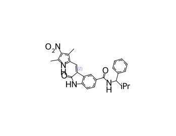 Cc1[nH]c(/C=C2\C(=O)Nc3ccc(C(=O)NC(c4ccccc4)C(C)C)cc32)c(C)c1[N+](=O)[O-]